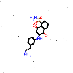 NCCc1cccc(NC2=CC(=O)c3c(cccc3S(N)(=O)=O)C2=O)c1